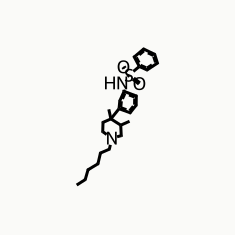 CCCCCCN1CCC(C)(c2cccc(NS(=O)(=O)c3ccccc3)c2)C(C)C1